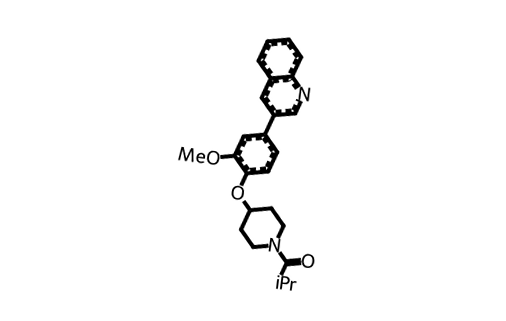 COc1cc(-c2cnc3ccccc3c2)ccc1OC1CCN(C(=O)C(C)C)CC1